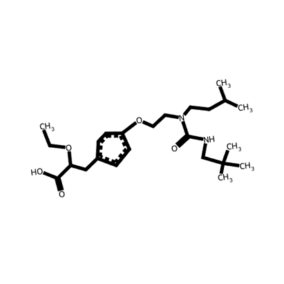 CCOC(Cc1ccc(OCCN(CCC(C)C)C(=O)NCC(C)(C)C)cc1)C(=O)O